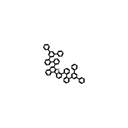 c1ccc(-c2cc(-c3ccccc3)cc(-c3ccccc3-c3ccccc3-c3cccc4c3sc3c(-c5ccccc5-c5ccccc5-c5cc(-c6ccccc6)cc(-c6ccccc6)c5)cc5ccccc5c34)c2)cc1